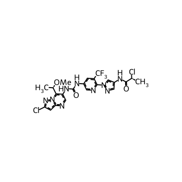 CO[C@H](C)c1c(NC(=O)Nc2cnc(-n3cc(NC(=O)[C@H](C)Cl)cn3)c(C(F)(F)F)c2)cnc2cc(Cl)nn12